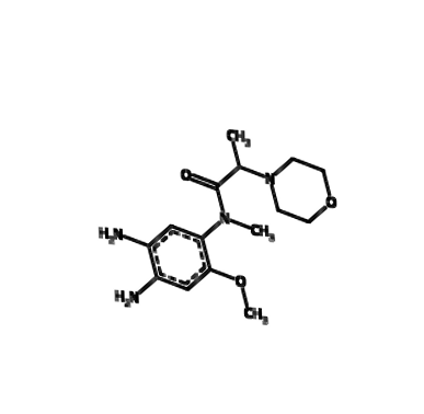 COc1cc(N)c(N)cc1N(C)C(=O)C(C)N1CCOCC1